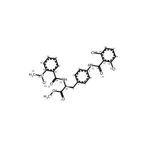 COC(=O)[C@H](Cc1ccc(NC(=O)c2c(Cl)cccc2Cl)cc1)NC(=O)c1ccccc1[S+](C)[O-]